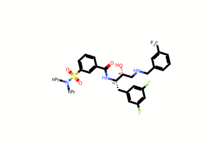 CCCN(CCC)S(=O)(=O)c1cccc(C(=O)N[C@@H](Cc2cc(F)cc(F)c2)[C@H](O)CNCc2cccc(C(F)(F)F)c2)c1